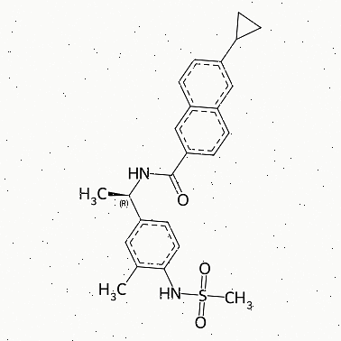 Cc1cc([C@@H](C)NC(=O)c2ccc3cc(C4CC4)ccc3c2)ccc1NS(C)(=O)=O